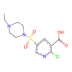 CCN1CCN(S(=O)(=O)c2cnc(Cl)c(C(=O)O)c2)CC1